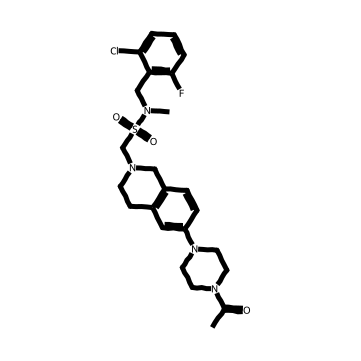 CC(=O)N1CCN(c2ccc3c(c2)CCN(CS(=O)(=O)N(C)Cc2c(F)cccc2Cl)C3)CC1